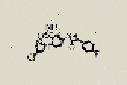 N[S+]([O-])c1cc(NC(=O)Cc2ccc(F)cc2)ccc1-n1cc(Cl)cn1